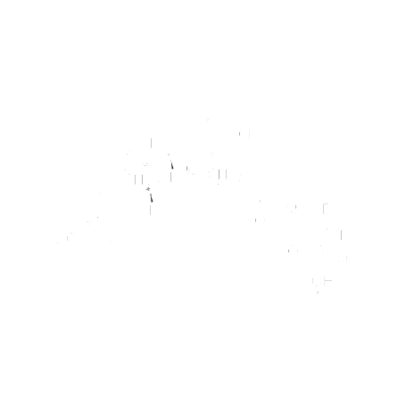 C[C@H](CCC(=O)OCC(F)(F)S(=O)(=O)O)[C@H]1CC[C@H]2[C@@H]3CCC4CC(=O)CC[C@]4(C)[C@H]3CC[C@]12C